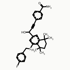 CC1(C)CCC(C)(C)c2c(SCc3ccc(F)cc3)cc(C(O)C#Cc3ccc(C(N)=O)cc3)cc21